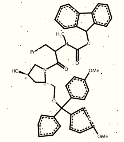 COc1ccc(C(OC[C@@H]2C[C@@H](O)CN2C(=O)C(CC(C)C)N(C)C(=O)OC2c3ccccc3-c3ccccc32)(c2ccccc2)c2ccc(OC)cc2)cc1